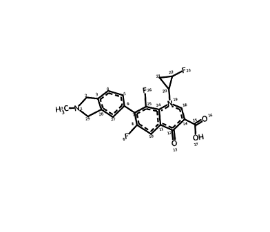 CN1Cc2ccc(-c3c(F)cc4c(=O)c(C(=O)O)cn(C5CC5F)c4c3F)cc2C1